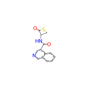 O=C(NC1CSC1=O)c1cncc2ccccc12